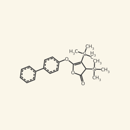 C[Si](C)(C)C1=C(Oc2ccc(-c3ccccc3)cc2)OC(=O)C1[Si](C)(C)C